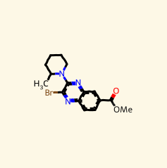 COC(=O)c1ccc2nc(Br)c(N3CCCCC3C)nc2c1